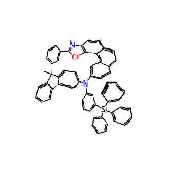 CC1(C)c2ccccc2-c2cc(N(c3cccc([Si](c4ccccc4)(c4ccccc4)c4ccccc4)c3)c3ccc4ccc5ccc6nc(-c7ccccc7)oc6c5c4c3)ccc21